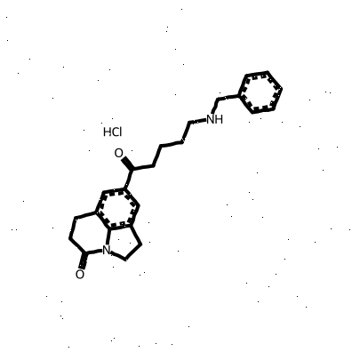 Cl.O=C(CCCCNCc1ccccc1)c1cc2c3c(c1)CCN3C(=O)CC2